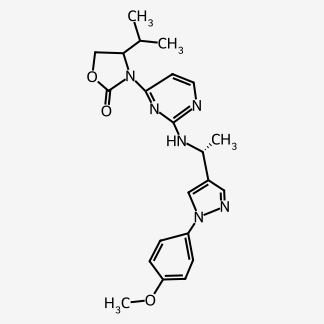 COc1ccc(-n2cc([C@@H](C)Nc3nccc(N4C(=O)OCC4C(C)C)n3)cn2)cc1